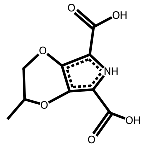 CC1COc2c(C(=O)O)[nH]c(C(=O)O)c2O1